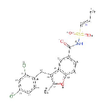 CCC/C=C/S(=O)(=O)NC(=O)c1ccc2oc(CC)c(Cc3ccc(Cl)cc3Cl)c2c1